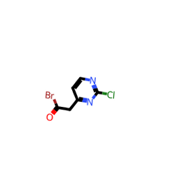 O=C(Br)Cc1ccnc(Cl)n1